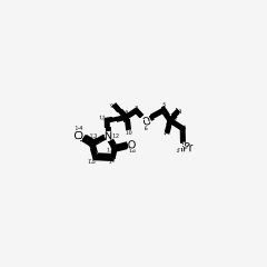 CC(C)CC(C)(C)COCC(C)(C)CN1C(=O)C=CC1=O